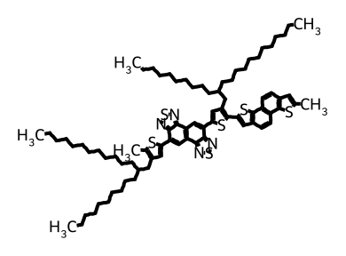 CCCCCCCCCCCCC(CCCCCCCCCC)Cc1cc(-c2cc3c(cc(-c4cc(CC(CCCCCCCCCC)CCCCCCCCCCCC)c(-c5cc6ccc7c(ccc8cc(C)sc87)c6s5)s4)c4nsnc43)c3nsnc23)sc1C